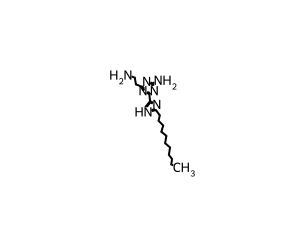 CCCCCCCCCCCc1nc(-c2nc(N)nc(CCN)n2)c[nH]1